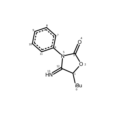 CCC(C)C1OC(=O)N(c2ccccc2)C1=N